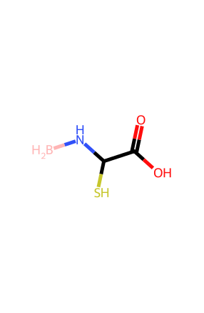 BNC(S)C(=O)O